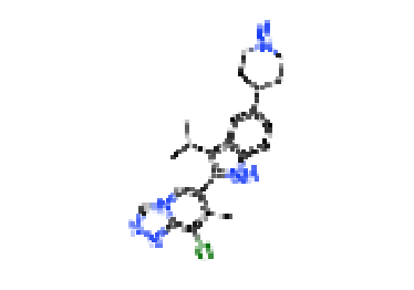 Cc1c(-c2[nH]c3ccc(C4CCNCC4)cc3c2C(C)C)cn2cnnc2c1Cl